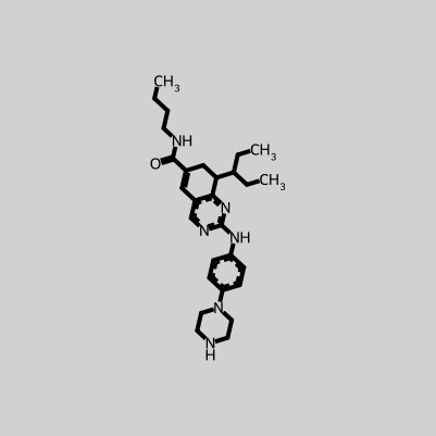 CCCCNC(=O)C1=Cc2cnc(Nc3ccc(N4CCNCC4)cc3)nc2C(C(CC)CC)C1